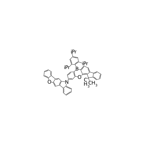 CC(C)c1cc(C(C)C)c(B2c3ccc(-n4c5ccccc5c5cc6oc7ccccc7c6cc54)cc3Oc3c2ccc2c3C(C)(C)c3ccccc3-2)c(C(C)C)c1